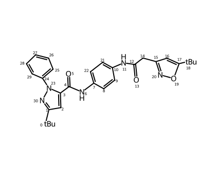 CC(C)(C)c1cc(C(=O)Nc2ccc(NC(=O)Cc3cc(C(C)(C)C)on3)cc2)n(-c2ccccc2)n1